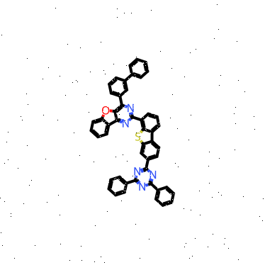 c1ccc(-c2cccc(-c3nc(-c4cccc5c4sc4cc(-c6nc(-c7ccccc7)nc(-c7ccccc7)n6)ccc45)nc4c3oc3ccccc34)c2)cc1